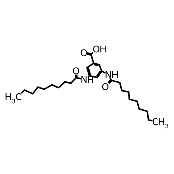 CCCCCCCCCC(=O)Nc1cc(NC(=O)CCCCCCCCC)cc(C(=O)O)c1